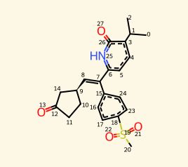 CC(C)c1ccc(C(=C[C@H]2CCC(=O)C2)c2ccc(S(C)(=O)=O)cc2)[nH]c1=O